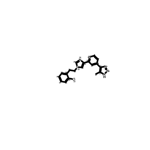 Cc1[nH]nnc1-c1ccnc(-c2cn(CCc3ccccc3Cl)cn2)c1